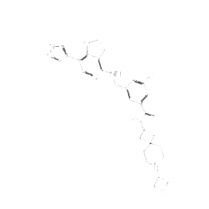 O=C(NC1CC2(CCN(C3COC3)CC2)C1)c1cc(F)cc(CNc2ncc(-c3cn[nH]c3)c3c2CCO3)c1